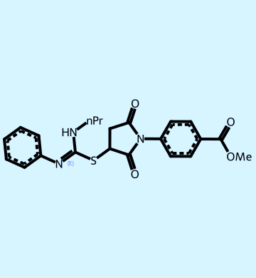 CCCN/C(=N\c1ccccc1)SC1CC(=O)N(c2ccc(C(=O)OC)cc2)C1=O